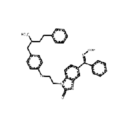 CO/N=C(\c1ccccc1)c1ccc2c(c1)sc(=O)n2CCOc1ccc(CC(CCc2ccccc2)C(=O)O)cc1